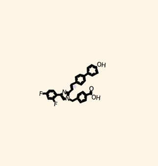 O=C(O)c1ccc(Cn2cc(-c3ccc(F)cc3F)nc2/C=C/c2ccc(-c3ccc(O)cc3)cc2)cc1